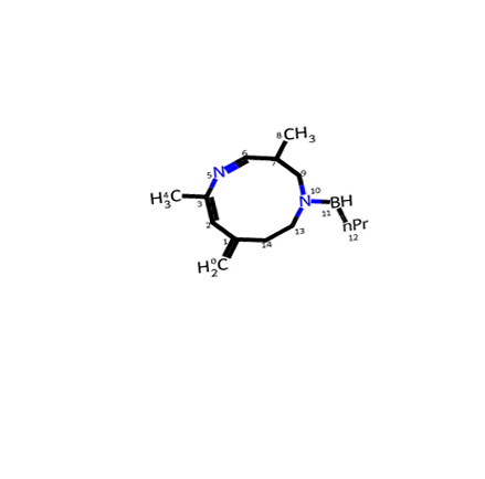 C=C1/C=C(C)\N=C/C(C)CN(BCCC)CC1